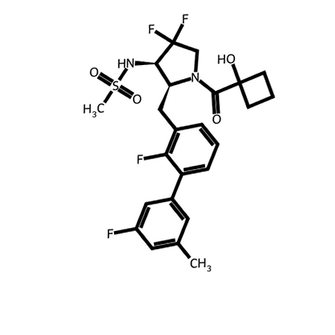 Cc1cc(F)cc(-c2cccc(C[C@H]3[C@@H](NS(C)(=O)=O)C(F)(F)CN3C(=O)C3(O)CCC3)c2F)c1